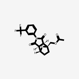 CC(=O)OC[C@@]12CC[C@@H](O1)[C@H]1C(=O)N(c3cccc(C(F)(F)F)c3)C(=O)[C@H]12